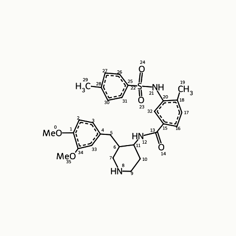 COc1ccc(CC2CNCCC2NC(=O)c2ccc(C)c(NS(=O)(=O)c3ccc(C)cc3)c2)cc1OC